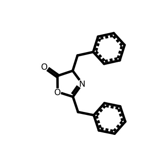 O=C1OC(Cc2ccccc2)=NC1Cc1ccccc1